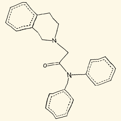 O=C(CN1CCc2ccccc2C1)N(c1ccccc1)c1ccccc1